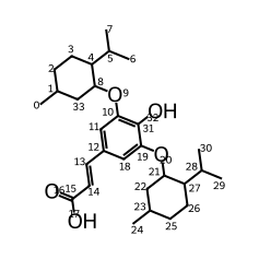 CC1CCC(C(C)C)C(Oc2cc(/C=C/C(=O)O)cc(OC3CC(C)CCC3C(C)C)c2O)C1